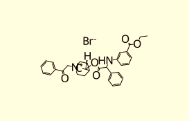 CCOC(=O)c1cccc(NC(C(=O)O[C@H]2C[N+]3(CC(=O)c4ccccc4)CCC2CC3)c2ccccc2)c1.[Br-]